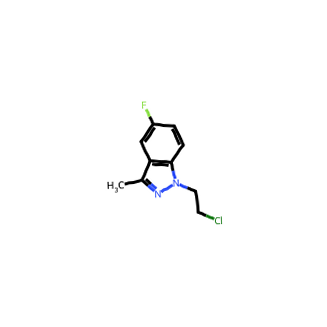 Cc1nn(CCCl)c2ccc(F)cc12